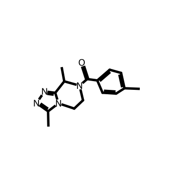 Cc1ccc(C(=O)N2CCn3c(C)nnc3C2C)cc1